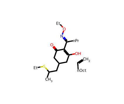 C=CCCCCCCCC.CCCC(=NOCC)C1=C(O)CC(CC(C)SCC)CC1=O